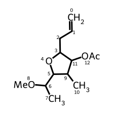 C=CCC1OC(C(C)OC)C(C)C1OC(C)=O